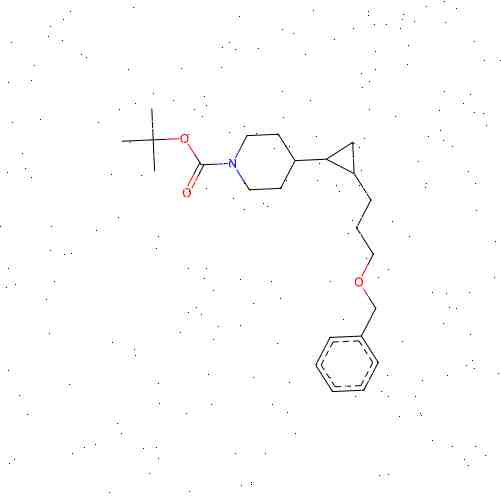 CC(C)(C)OC(=O)N1CCC(C2CC2CCCOCc2ccccc2)CC1